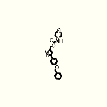 CN1CCN(NC(=O)OCc2cc(-c3ccc(OCc4ccccc4)cc3)no2)CC1